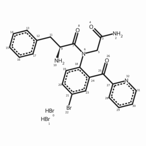 Br.Br.NC(=O)CN(C(=O)[C@@H](N)Cc1ccccc1)c1ccc(Br)cc1C(=O)c1ccccn1